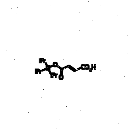 CC(C)[Si](OC(=O)C=CC(=O)O)(C(C)C)C(C)C